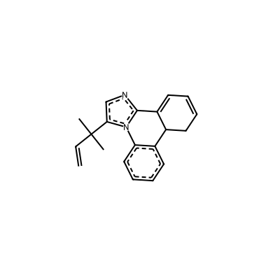 C=CC(C)(C)c1cnc2n1-c1ccccc1C1CC=CC=C21